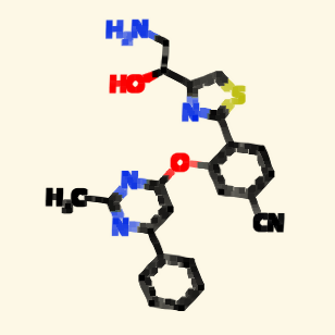 Cc1nc(Oc2cc(C#N)ccc2-c2nc([C@@H](O)CN)cs2)cc(-c2ccccc2)n1